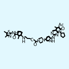 CC(=O)c1c(C)c2cnc(Nc3ccc(N4CCN(C(=O)CCCCCNc5cccc(C(=O)Nc6nc(C)c(C)s6)c5C)CC4)cn3)nc2n(C2CCCC2)c1=O